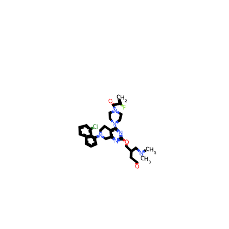 C=C(F)C(=O)N1CCN(c2nc(OCC(CC=O)CN(C)C)nc3c2CCN(c2cccc4cccc(Cl)c24)C3)CC1